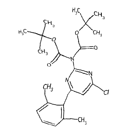 Cc1cccc(C)c1-c1cc(Cl)nc(N(C(=O)OC(C)(C)C)C(=O)OC(C)(C)C)n1